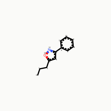 CCCc1cc(-c2c[c]ccc2)no1